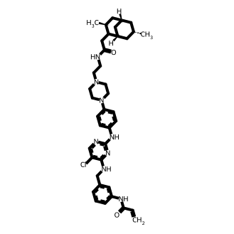 C=CC(=O)Nc1cccc(CNc2nc(Nc3ccc(N4CCN(CCNC(=O)CC5[C@H]6C[C@@H](C)C[C@H](C6)C[C@@H]5C)CC4)cc3)ncc2Cl)c1